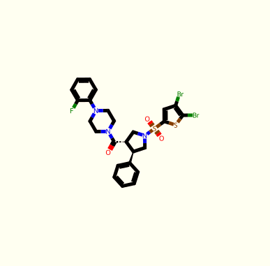 O=C([C@@H]1CN(S(=O)(=O)c2cc(Br)c(Br)s2)C[C@H]1c1ccccc1)N1CCN(c2ccccc2F)CC1